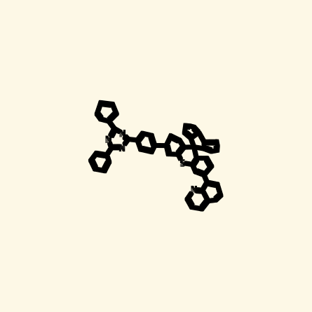 c1ccc(-c2nc(-c3ccccc3)nc(-c3ccc(-c4ccc5c(c4)Sc4cc(-c6cccc7cccnc67)ccc4C54c5ccccc5-c5ccccc54)cc3)n2)cc1